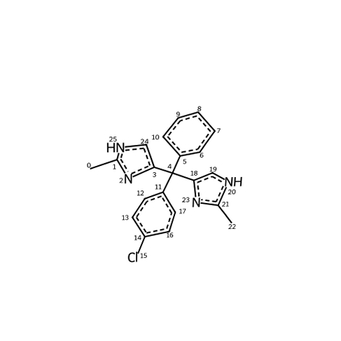 Cc1nc(C(c2ccccc2)(c2ccc(Cl)cc2)c2c[nH]c(C)n2)c[nH]1